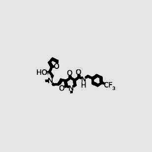 CN(Cc1cc2c(=O)c(C(=O)NCc3ccc(C(F)(F)F)cc3)cn(C)c2o1)C[C@@H](O)c1ccco1